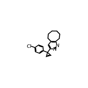 Clc1ccc(C2(c3cc4c(nn3)CCCCCC4)C=C2)cc1